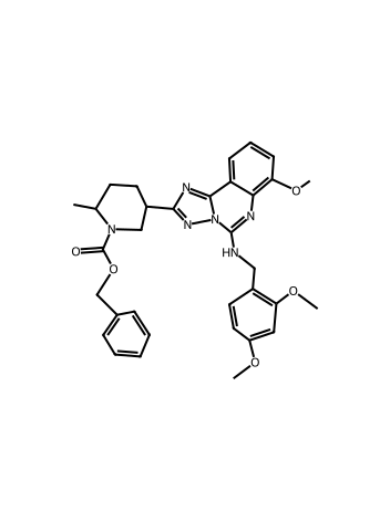 COc1ccc(CNc2nc3c(OC)cccc3c3nc(C4CCC(C)N(C(=O)OCc5ccccc5)C4)nn23)c(OC)c1